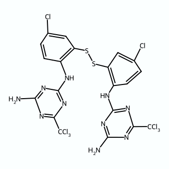 Nc1nc(Nc2ccc(Cl)cc2SSc2cc(Cl)ccc2Nc2nc(N)nc(C(Cl)(Cl)Cl)n2)nc(C(Cl)(Cl)Cl)n1